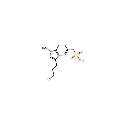 Cn1cc(CCCN)c2cc(CS(N)(=O)=O)ccc21